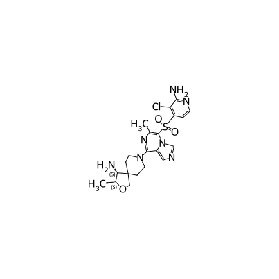 Cc1nc(N2CCC3(CC2)CO[C@@H](C)[C@H]3N)c2cncn2c1S(=O)(=O)c1ccnc(N)c1Cl